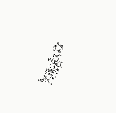 C[C@@]1(O)CC[C@H]2[C@H](CC[C@@H]3[C@@H]2CC[C@]2(C)[C@@H](C(=O)Cc4cncnc4)CC[C@@H]32)C1